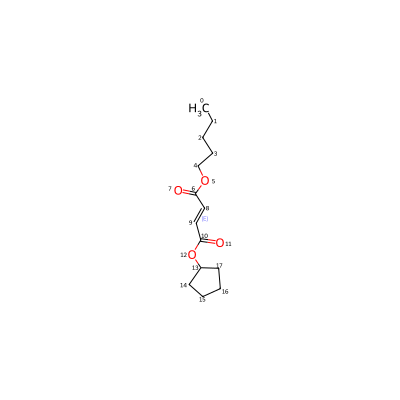 CCCCCOC(=O)/C=C/C(=O)OC1CCCC1